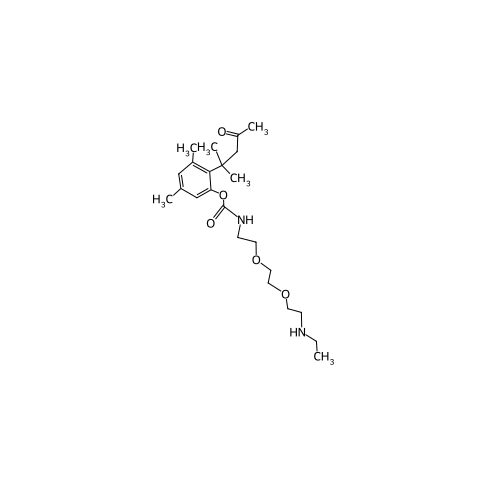 CCNCCOCCOCCNC(=O)Oc1cc(C)cc(C)c1C(C)(C)CC(C)=O